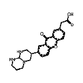 O=C(O)Cc1ccc2oc3ccc(C4CNC5NCCCN5C4)cc3c(=O)c2c1